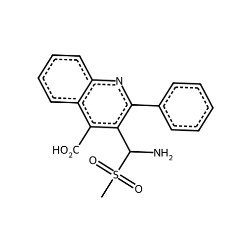 CS(=O)(=O)C(N)c1c(-c2ccccc2)nc2ccccc2c1C(=O)O